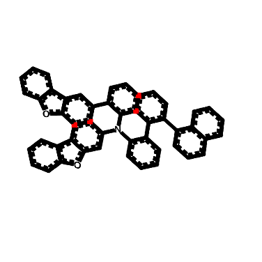 c1ccc(-c2cccc3ccccc23)c(-c2ccccc2N(c2ccc3c(c2)oc2ccccc23)c2ccccc2-c2ccc3oc4ccccc4c3c2)c1